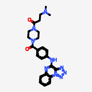 CN(C)CCC(=O)N1CCN(C(=O)c2ccc(Nc3nc4ccccc4n4nnnc34)cc2)CC1